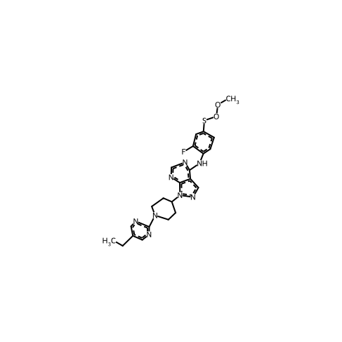 CCc1cnc(N2CCC(n3ncc4c(Nc5ccc(SOOC)cc5F)ncnc43)CC2)nc1